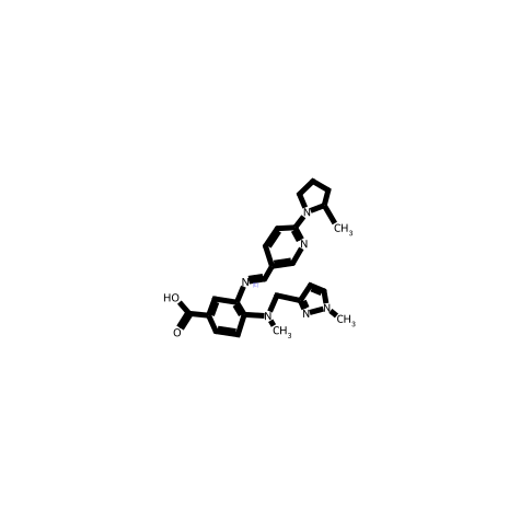 CC1CCCN1c1ccc(/C=N/c2cc(C(=O)O)ccc2N(C)Cc2ccn(C)n2)cn1